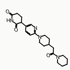 O=C1CCC(c2ccc(N3CCC(CC(=O)N4CCCCC4)CC3)nc2)C(=O)N1